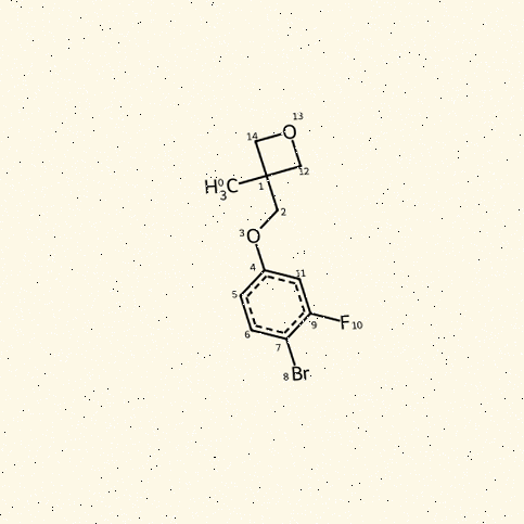 CC1(COc2ccc(Br)c(F)c2)COC1